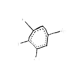 CC(=O)c1cc(C)c(F)c(F)c1